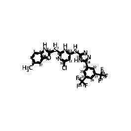 Cc1ccc2[nH]c(=[SH]c3nc(Cl)cc(=[SH]c4nnc(-c5cc(C(F)(F)F)cc(C(F)(F)F)c5)[nH]4)[nH]3)oc2c1